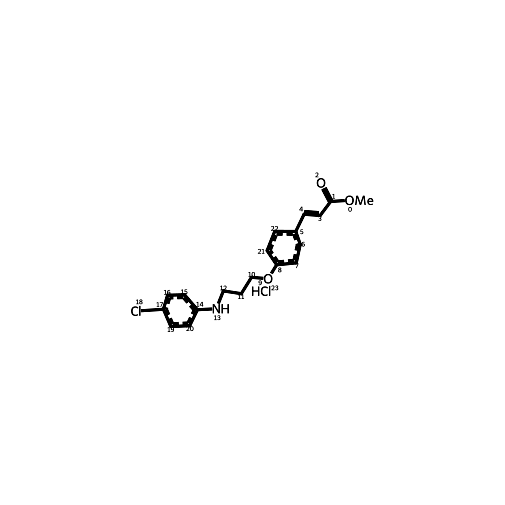 COC(=O)C=Cc1ccc(OCCCNc2ccc(Cl)cc2)cc1.Cl